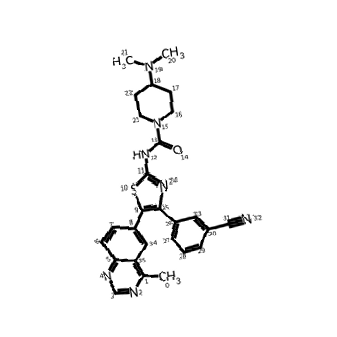 Cc1ncnc2ccc(-c3sc(NC(=O)N4CCC(N(C)C)CC4)nc3-c3cccc(C#N)c3)cc12